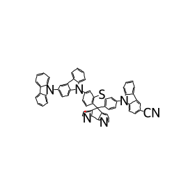 N#Cc1ccc2c(c1)c1ccccc1n2-c1ccc2c(c1)Sc1cc(-n3c4ccccc4c4cc(-n5c6ccccc6c6ccccc65)ccc43)ccc1C21c2cccnc2-c2ncccc21